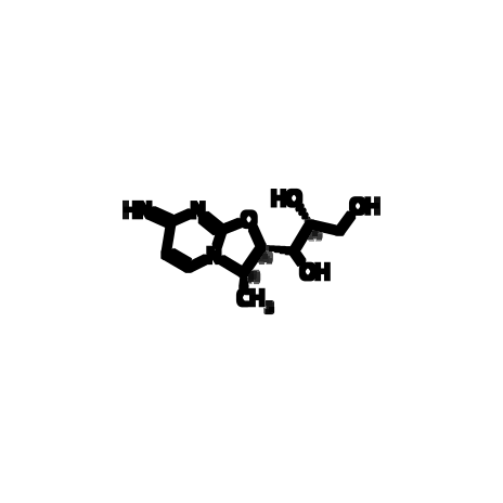 C[C@@H]1[C@@H](C(O)[C@H](O)CO)Oc2nc(=N)ccn21